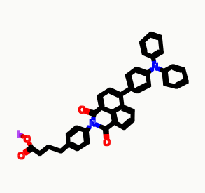 O=C(CCCc1ccc(N2C(=O)c3cccc4c(-c5ccc(N(c6ccccc6)c6ccccc6)cc5)ccc(c34)C2=O)cc1)OI